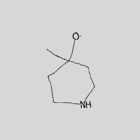 CC1([O])CCNCC1